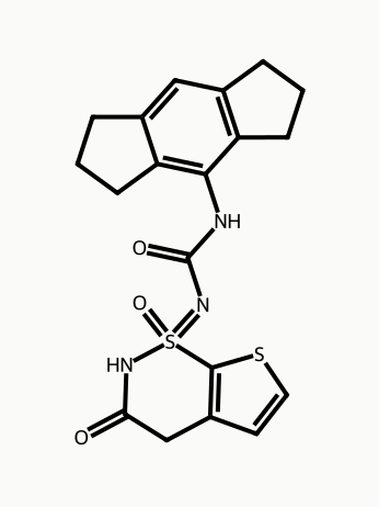 O=C1Cc2ccsc2S(=O)(=NC(=O)Nc2c3c(cc4c2CCC4)CCC3)N1